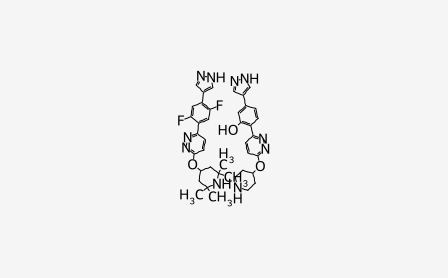 CC1(C)CC(Oc2ccc(-c3cc(F)c(-c4cn[nH]c4)cc3F)nn2)CC(C)(C)N1.Oc1cc(-c2cn[nH]c2)ccc1-c1ccc(OC2CCNCC2)nn1